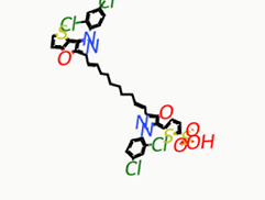 O=S(=O)(O)c1cc2oc3c(/C=C/CCCCCC/C=C/c4nn(-c5ccc(Cl)cc5Cl)c5c4oc4ccsc45)nn(-c4ccc(Cl)cc4Cl)c3c2s1